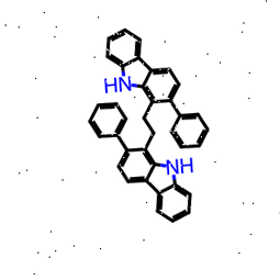 c1ccc(-c2ccc3c([nH]c4ccccc43)c2CCc2c(-c3ccccc3)ccc3c2[nH]c2ccccc23)cc1